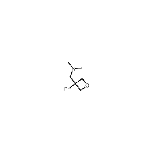 CC(C)C1(CN(C)C)COC1